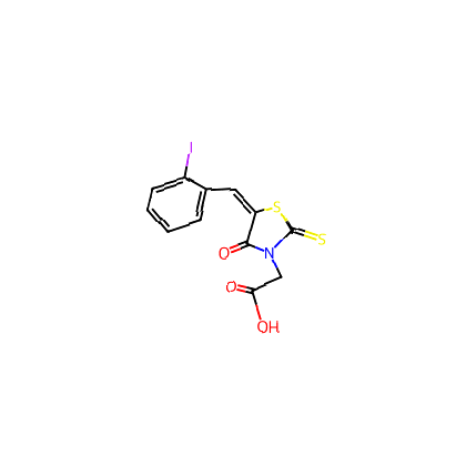 O=C(O)CN1C(=O)/C(=C\c2ccccc2I)SC1=S